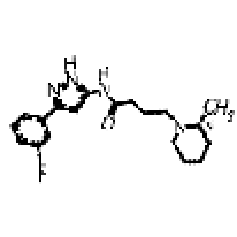 C[C@H]1CCCCN1CCCC(=O)Nc1cc(-c2cccc(F)c2)n[nH]1